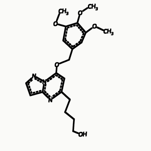 COc1cc(COc2cc(CCCCO)nc3ccnn23)cc(OC)c1OC